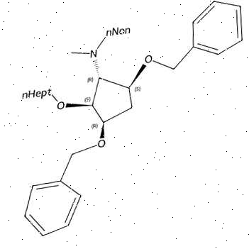 CCCCCCCCCN(C)[C@H]1[C@H](OCCCCCCC)[C@H](OCc2ccccc2)C[C@@H]1OCc1ccccc1